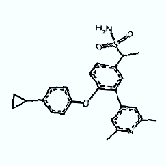 Cc1cc(-c2cc(C(C)S(N)(=O)=O)ccc2Oc2ccc(C3CC3)cc2)cc(C)n1